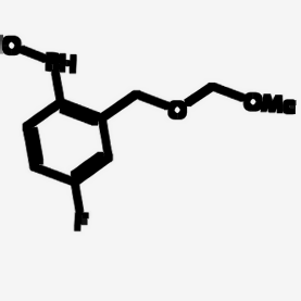 COCOCc1cc(F)ccc1BO